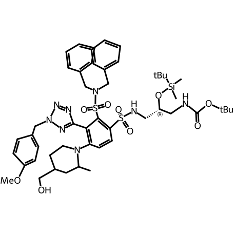 COc1ccc(Cn2nnc(-c3c(N4CCC(CO)CC4C)ccc(S(=O)(=O)NC[C@@H](CNC(=O)OC(C)(C)C)O[Si](C)(C)C(C)(C)C)c3S(=O)(=O)N(Cc3ccccc3)Cc3ccccc3)n2)cc1